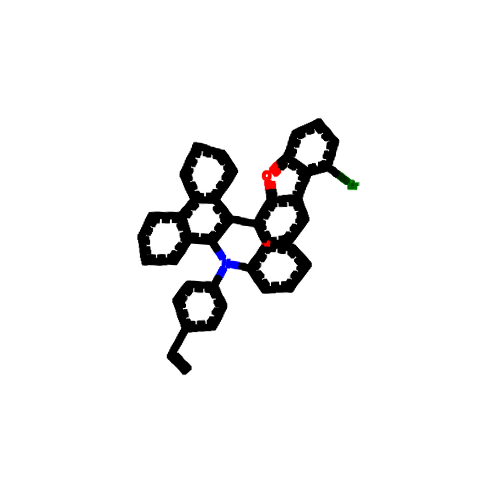 C=Cc1ccc(N(c2ccccc2)c2c(-c3cccc4c3oc3cccc(Br)c34)c3ccccc3c3ccccc23)cc1